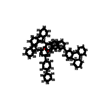 C1=CC2c3ccccc3-c3cc(-c4cccc(C5C=C(n6c7ccccc7c7ccc8c9ccccc9n(-c9nc(-c%10ccccc%10)nc(-c%10ccc(-c%11ccccc%11)cc%10)n9)c8c76)C=CC5)c4)ccc3C2C=C1